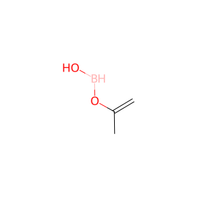 C=C(C)OBO